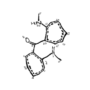 CNc1ccccc1C(=O)c1ccccc1NC